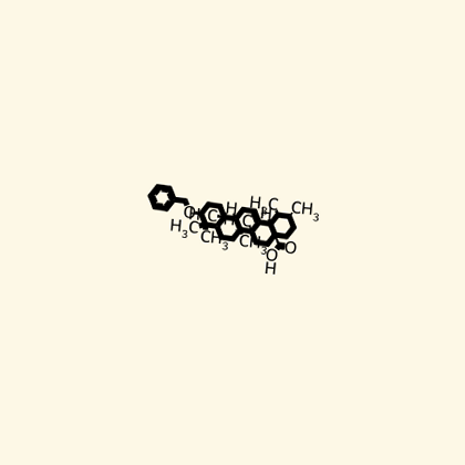 C[C@H]1[C@H](C)CC[C@]2(C(=O)O)CC[C@]3(C)C(=CC[C@@H]4[C@@]5(C)CC[C@H](OCc6ccccc6)C(C)(C)C5CC[C@]43C)[C@H]12